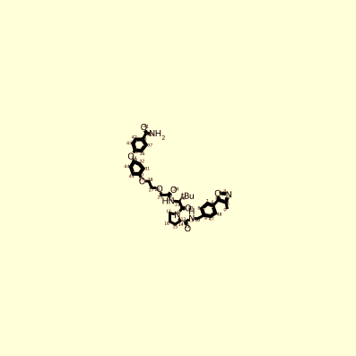 Cc1ncoc1-c1ccc(CNC(=O)[C@@H]2CCCN2C(=O)[C@@H](NC(=O)COCCOc2ccc(Oc3ccc(C(N)=O)cc3)cc2)C(C)(C)C)cc1